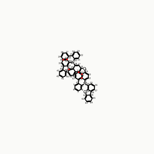 c1ccc(-c2ccccc2N(c2ccc3oc4cc(N(c5ccccc5-c5ccccc5)c5cccc6c5oc5ccccc56)c5ccccc5c4c3c2)c2cccc3c2oc2ccccc23)cc1